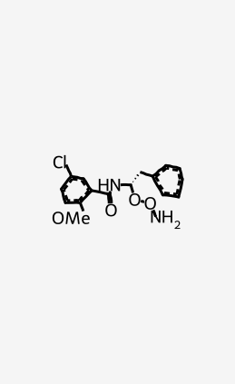 COc1ccc(Cl)cc1C(=O)N[C@H](Cc1ccccc1)OON